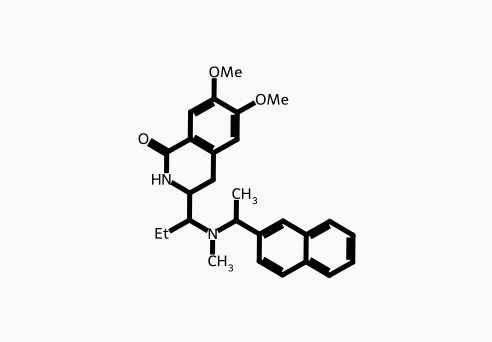 CCC(C1Cc2cc(OC)c(OC)cc2C(=O)N1)N(C)C(C)c1ccc2ccccc2c1